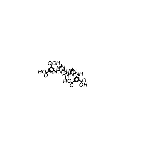 Cc1nc(Nc2cc(C(=O)O)cc(C(=O)O)c2)nc(NC(C)Nc2nc(C)nc(Nc3cc(C(=O)O)cc(C(=O)O)c3)n2)n1